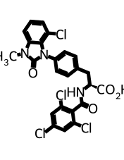 Cn1c(=O)n(-c2ccc(C[C@H](NC(=O)c3c(Cl)cc(Cl)cc3Cl)C(=O)O)cc2)c2c(Cl)cccc21